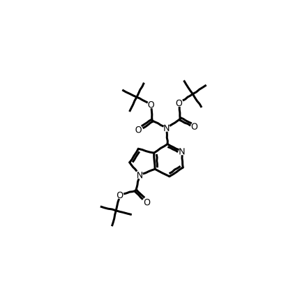 CC(C)(C)OC(=O)N(C(=O)OC(C)(C)C)c1nccc2c1ccn2C(=O)OC(C)(C)C